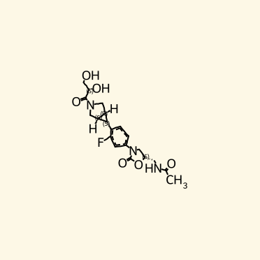 CC(=O)NC[C@H]1CN(c2ccc([C@H]3[C@@H]4CN(C(=O)[C@@H](O)CO)C[C@@H]43)c(F)c2)C(=O)O1